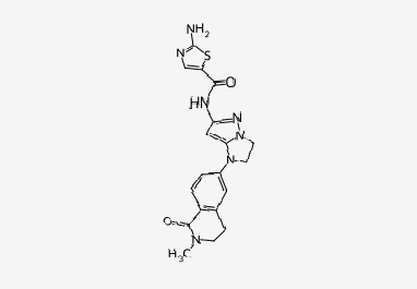 CN1CCc2cc(N3CCn4nc(NC(=O)c5cnc(N)s5)cc43)ccc2C1=O